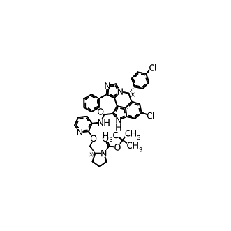 CC(C)(C)OC(=O)N1CCC[C@H]1COc1ncccc1NC(=O)c1[nH]c2cc(Cl)cc3c2c1-c1c(-c2ccccc2)ncn1[C@@H]3c1ccc(Cl)cc1